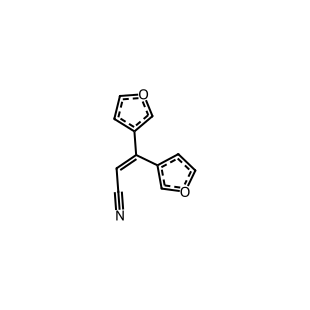 N#CC=C(c1ccoc1)c1ccoc1